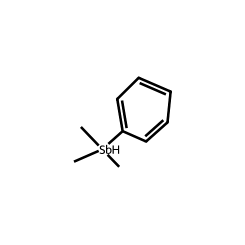 [CH3][SbH]([CH3])([CH3])[c]1ccccc1